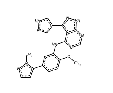 COc1ccc(-c2ccnn2C)cc1Nc1ncnc2[nH]nc(-c3cn[nH]c3)c12